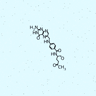 CC(=O)CCC(C=O)NC(=O)c1ccc(NCc2cnc3nc(N)[nH]c(=O)c3n2)cc1